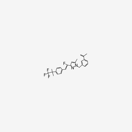 C=C(C)c1cccc(Cn2nc(/C(F)=C/c3ccc(C(C)(C)C(F)(F)F)cc3)cc2C)c1